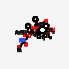 CCOCCC(=O)NCC(=O)O[C@@H](C(=O)O[C@H]1C[C@@]2(O)[C@@H](OC(=O)c3ccccc3)C3C(C)(C(=O)[C@H](C)C(=C1C)C2(C)C)[C@@H](O)CC1OC[C@]13OC(C)=O)[C@@H](NC(C)=O)c1ccccc1